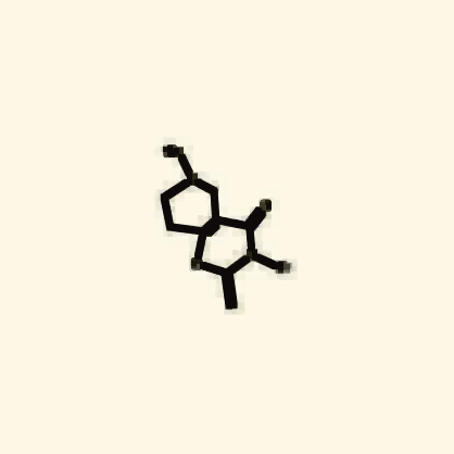 C=C1OC2=C(CN(C(C)(C)C)CC2)C(=O)N1C(C)C